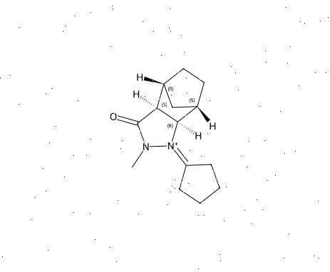 CN1C(=O)[C@H]2[C@@H]3CC[C@@H](C3)[C@H]2[N+]1=C1CCCC1